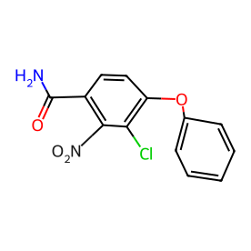 NC(=O)c1ccc(Oc2ccccc2)c(Cl)c1[N+](=O)[O-]